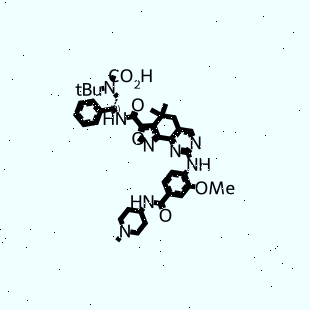 COc1cc(C(=O)NC2CCN(C)CC2)ccc1Nc1ncc2c(n1)-c1noc(C(=O)N[C@@H](CN(C(=O)O)C(C)(C)C)c3ccccc3)c1C(C)(C)C2